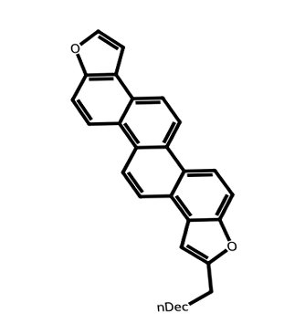 CCCCCCCCCCCc1cc2c(ccc3c2ccc2c4ccc5occc5c4ccc32)o1